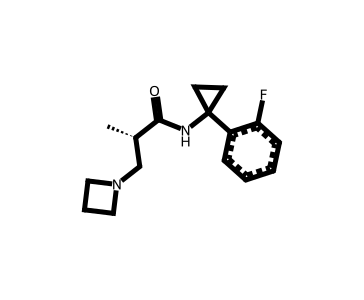 C[C@@H](CN1CCC1)C(=O)NC1(c2ccccc2F)CC1